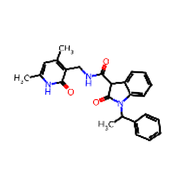 Cc1cc(C)c(CNC(=O)C2C(=O)N(C(C)c3ccccc3)c3ccccc32)c(=O)[nH]1